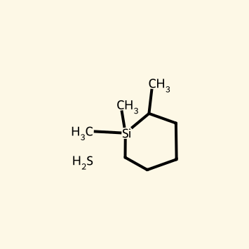 CC1CCCC[Si]1(C)C.S